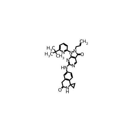 C=CCn1c(=O)c2cnc(Nc3ccc4c(c3)CC(=O)NC43CC3)nc2n1-c1cccc(C(C)(C)C)n1